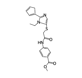 CCn1c(SCC(=O)Nc2ccc(C(=O)OC)cc2)cnc1C1=CC=CC1